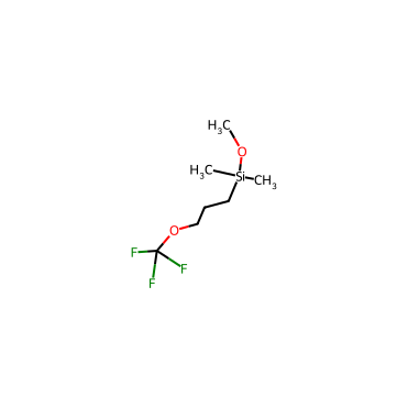 CO[Si](C)(C)CCCOC(F)(F)F